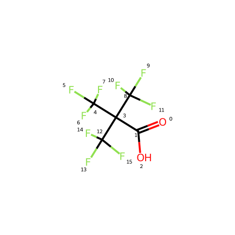 O=C(O)C(C(F)(F)F)(C(F)(F)F)C(F)(F)F